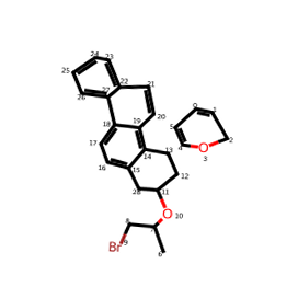 C1=CCOC=C1.CC(CBr)OC1CCc2c(ccc3c2ccc2ccccc23)C1